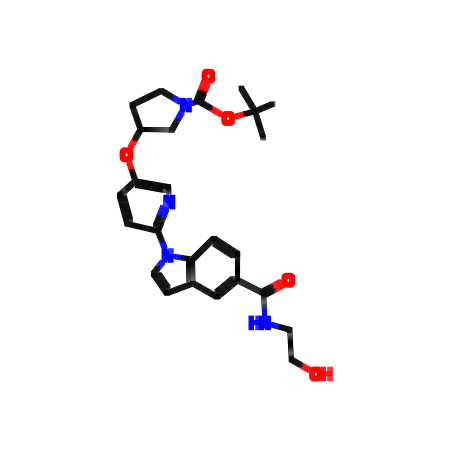 CC(C)(C)OC(=O)N1CCC(Oc2ccc(-n3ccc4cc(C(=O)NCCO)ccc43)nc2)C1